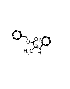 C[C@H](Nc1ccccn1)C(=O)OCc1ccccc1